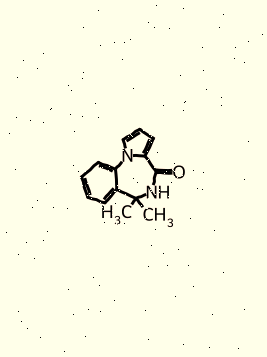 CC1(C)NC(=O)c2cccn2-c2ccccc21